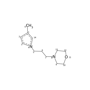 Cc1ccn(CCCN2CCOCC2)c1